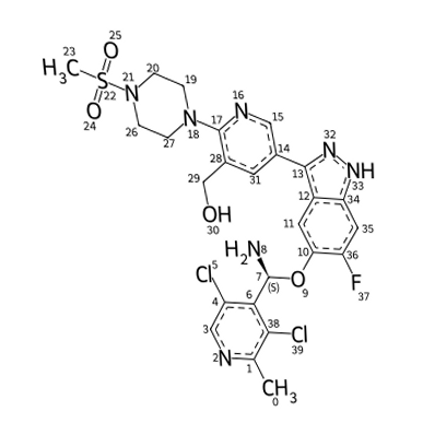 Cc1ncc(Cl)c([C@@H](N)Oc2cc3c(-c4cnc(N5CCN(S(C)(=O)=O)CC5)c(CO)c4)n[nH]c3cc2F)c1Cl